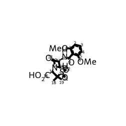 COc1cccc(OC)c1C(=O)N[C@@H]1C(=O)N2[C@@H](C(=O)O)C(C)(C)S(=O)(=O)[C@H]12